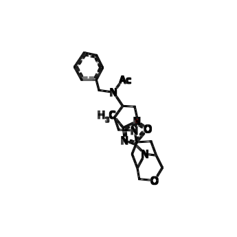 CC(=O)N(Cc1ccccc1)C1CCN(C2CC3COCC(C2)N3c2nc(C)no2)CC1